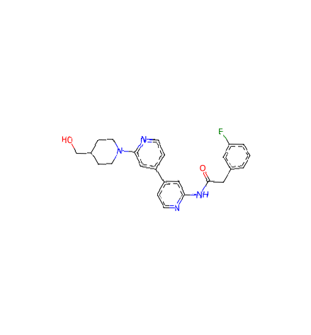 O=C(Cc1cccc(F)c1)Nc1cc(-c2ccnc(N3CCC(CO)CC3)c2)ccn1